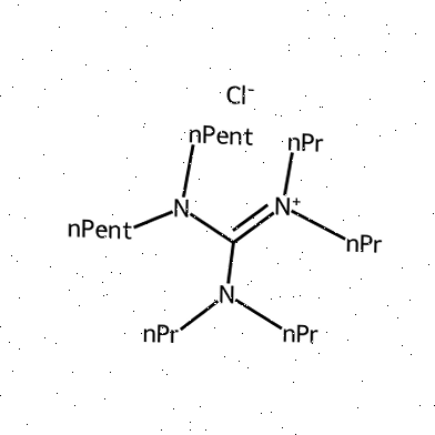 CCCCCN(CCCCC)C(N(CCC)CCC)=[N+](CCC)CCC.[Cl-]